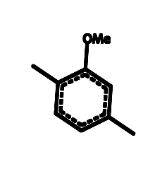 [CH]Oc1cc(C)ccc1C